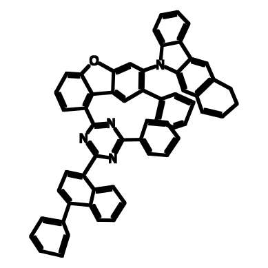 C1=Cc2cc3c(cc2CC1)c1ccccc1n3-c1cc2oc3cccc(-c4nc(-c5ccccc5)nc(-c5ccc(-c6ccccc6)c6ccccc56)n4)c3c2cc1-c1ccccc1